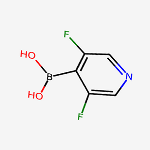 OB(O)c1c(F)cncc1F